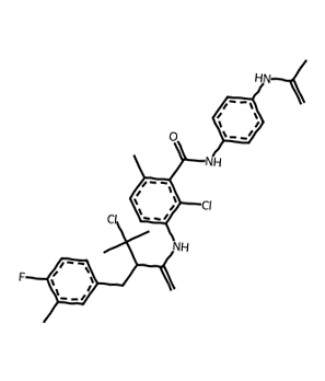 C=C(C)Nc1ccc(NC(=O)c2c(C)ccc(NC(=C)C(Cc3ccc(F)c(C)c3)C(C)(C)Cl)c2Cl)cc1